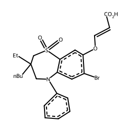 CCCCC1(CC)CN(c2ccccc2)c2cc(Br)c(OC=CC(=O)O)cc2S(=O)(=O)C1